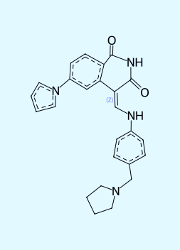 O=C1NC(=O)c2ccc(-n3cccc3)cc2/C1=C/Nc1ccc(CN2CCCC2)cc1